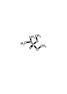 COP(=S)(OC)N(C)C